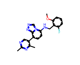 COc1cccc(F)c1CNc1ccc(-c2cnc(C)nc2C)c2nncn12